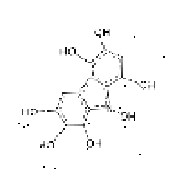 Oc1cc2c3c(O)c(O)cc(O)c3n(O)c2c(O)c1O